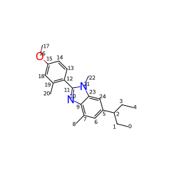 CCC(CC)c1cc(C)c2nc(-c3ccc(OC)cc3C)n(C)c2c1